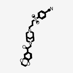 N#Cc1ccc(S(=O)(=O)CCCN2CC3CC(C2)CN(CC(=O)c2ccc4c(c2)OCCO4)C3)cc1